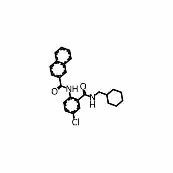 O=C(Nc1ccc(Cl)cc1C(=O)NCC1CCCCC1)c1ccc2ccccc2c1